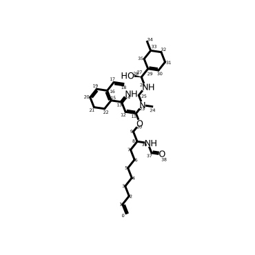 C=CCCCCCCC(CO/C(=C/C(=N)C1=C(C=C)C=CCC1)N(C)CN[C@@H](O)C1=CCCC(C)C1)NC=O